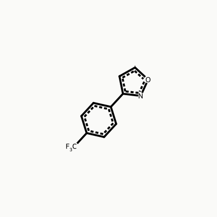 FC(F)(F)c1ccc(-c2c[c]on2)cc1